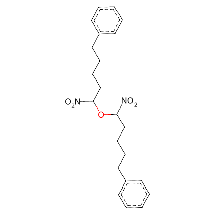 O=[N+]([O-])C(CCCCc1ccccc1)OC(CCCCc1ccccc1)[N+](=O)[O-]